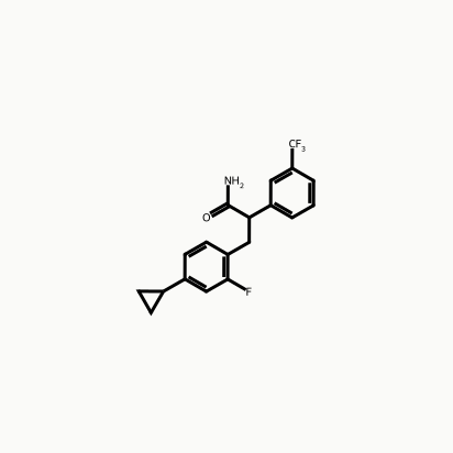 NC(=O)C(Cc1ccc(C2CC2)cc1F)c1cccc(C(F)(F)F)c1